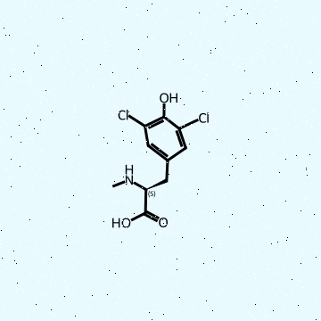 CN[C@@H](Cc1cc(Cl)c(O)c(Cl)c1)C(=O)O